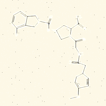 COC1=CCC(CC(=O)NCC(=O)N2C[C@H](OC(=O)N3Cc4cccc(F)c4C3)CC2C(N)=O)C=C1